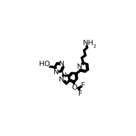 NCCCCc1cccc(-c2cc(OC(F)F)c3cnn(-c4cncc(CO)n4)c3c2)n1